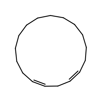 C1=CCCCCCCCCCCCCC=CC1